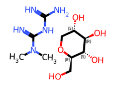 CN(C)C(=N)NC(=N)N.OC[C@H]1OC[C@H](O)[C@@H](O)[C@@H]1O